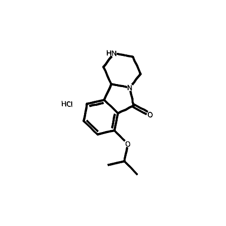 CC(C)Oc1cccc2c1C(=O)N1CCNCC21.Cl